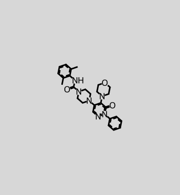 Cc1cccc(C)c1NC(=O)N1CCN(c2cnn(-c3ccccc3)c(=O)c2N2CCOCC2)CC1